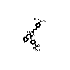 CN(C)c1ccc(/C=C/C(=O)NC(Cc2ccccc2)C(=O)Nc2ccc(C(=O)NO)cc2)cc1